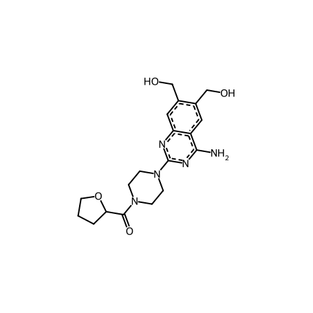 Nc1nc(N2CCN(C(=O)C3CCCO3)CC2)nc2cc(CO)c(CO)cc12